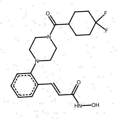 O=C(C=Cc1ccccc1N1CCN(C(=O)C2CCC(F)(F)CC2)CC1)NO